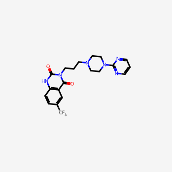 O=c1[nH]c2ccc(C(F)(F)F)cc2c(=O)n1CCCN1CCN(c2ncccn2)CC1